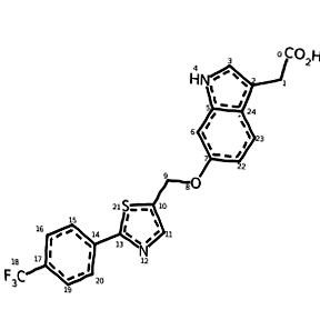 O=C(O)Cc1c[nH]c2cc(OCc3cnc(-c4ccc(C(F)(F)F)cc4)s3)ccc12